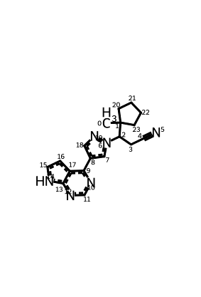 CC1(C(CC#N)n2cc(-c3ncnc4[nH]ccc34)cn2)CCCC1